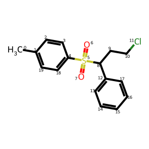 Cc1ccc(S(=O)(=O)C(CCCl)c2ccccc2)cc1